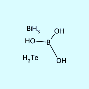 OB(O)O.[BiH3].[TeH2]